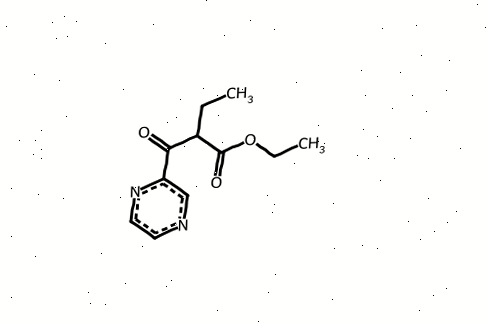 CCOC(=O)C(CC)C(=O)c1cnccn1